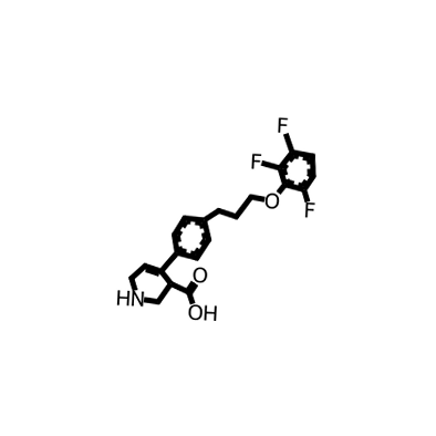 O=C(O)C1CNCC=C1c1ccc(CCCOc2c(F)ccc(F)c2F)cc1